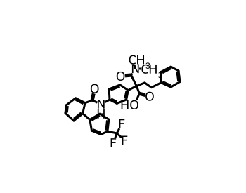 CN(C)C(=O)C(CCc1ccccc1)(C(=O)O)c1ccc(NC(=O)c2ccccc2-c2ccc(C(F)(F)F)cc2)cc1